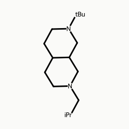 CC(C)CN1CCC2CCN(C(C)(C)C)CC2C1